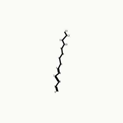 [CH]=CC=CC=CCCCCCCCC